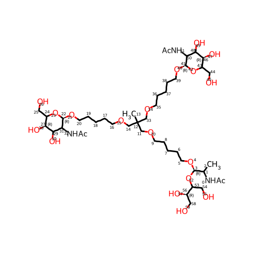 CC(=O)NC(C)[C@H](OCCCCCOCC(C)(COCCCCCO[C@@H]1OC(CO)[C@H](O)C(O)C1NC(C)=O)COCCCCCO[C@@H]1OC(CO)[C@H](O)C(O)C1NC(C)=O)OC(CO)[C@H](O)CO